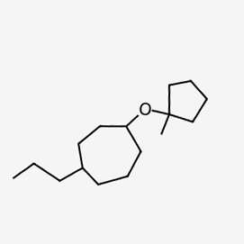 CCCC1CCCC(OC2(C)CCCC2)CC1